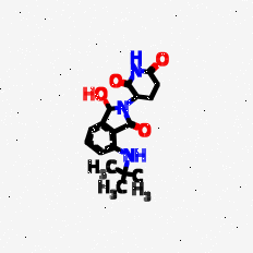 CC(C)(C)Nc1cccc2c1C(=O)N(C1CCC(=O)NC1=O)C2O